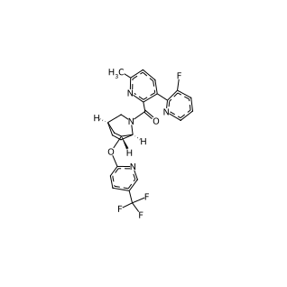 Cc1ccc(-c2ncccc2F)c(C(=O)N2C[C@@H]3CC[C@H]2[C@H](Oc2ccc(C(F)(F)F)cn2)C3)n1